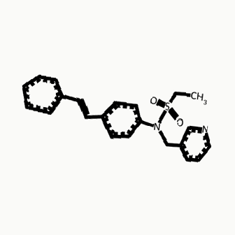 CCS(=O)(=O)N(Cc1cccnc1)c1ccc(C=Cc2ccccc2)cc1